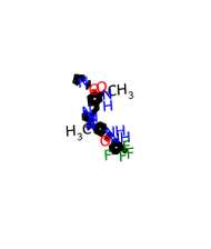 CNC(=O)c1cc(Cc2nccc(N(C)c3ccc(NC(=O)Nc4cc(F)cc(C(F)(F)F)c4)cc3)n2)ccc1OCCN1CCCC1